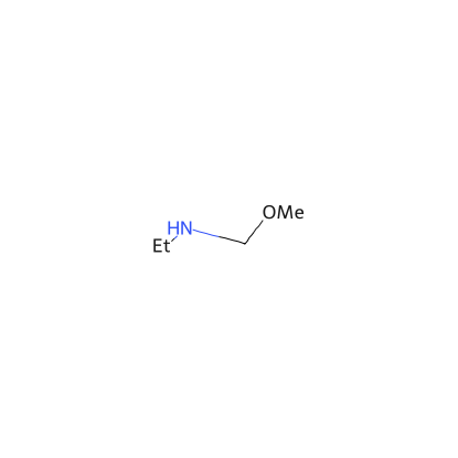 CCNCOC